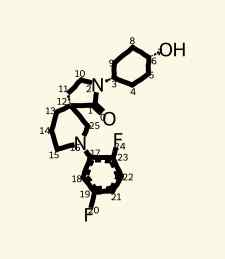 O=C1N([C@H]2CC[C@@H](O)CC2)CC[C@]12CCCN(c1cc(F)ccc1F)C2